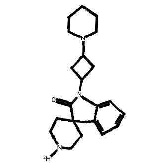 [2H]N1CCC2(CC1)C(=O)N(C1CC(N3CCCCC3)C1)c1ccccc12